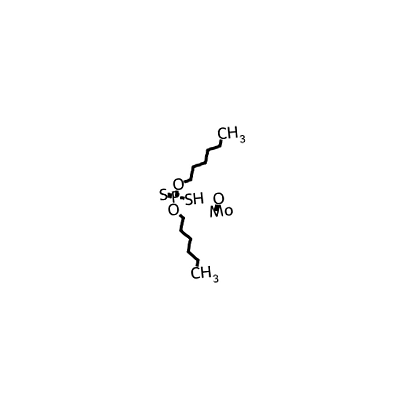 CCCCCCOP(=S)(S)OCCCCCC.[O]=[Mo]